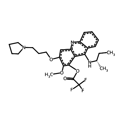 CC[C@H](C)Nc1c2ccccc2nc2cc(OCCCN3CCCC3)c(OC)c(OC(=O)C(F)(F)F)c12